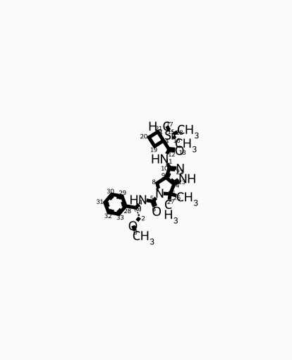 COC[C@@H](NC(=O)N1Cc2c(NC(=O)C3([Si](C)(C)C)CCC3)n[nH]c2C1(C)C)c1ccccc1